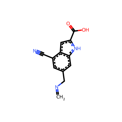 C=NCc1cc(C#N)c2cc(C(=O)O)[nH]c2c1